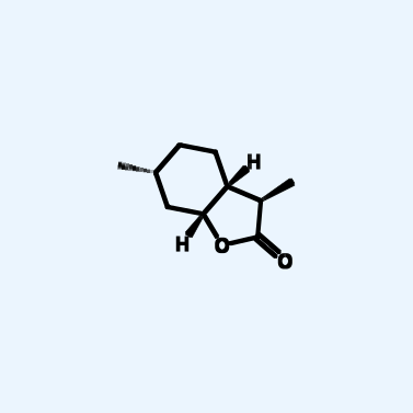 C[C@@H]1CC[C@H]2[C@@H](C1)OC(=O)[C@@H]2C